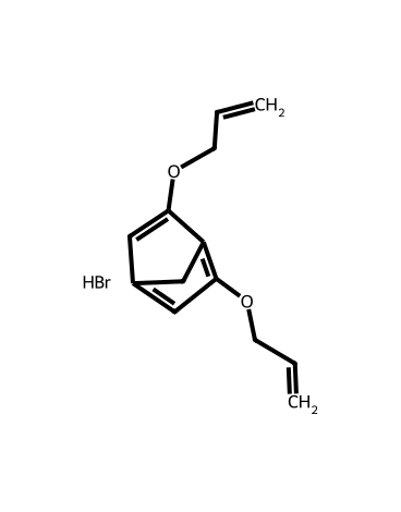 Br.C=CCOC1=CC2=CC(OCC=C)=C1C2